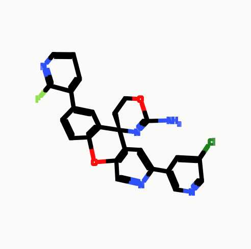 NC1=N[C@@]2(CCO1)c1cc(-c3cccnc3F)ccc1Oc1cnc(-c3cncc(Cl)c3)cc12